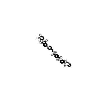 C[C@H]1CCCN1Cc1nc2cc(NC(=O)c3ccc(C(=O)NCCC4CCN(c5ccc6c(c5)C(=O)N(C5CCC(=O)NC5=O)C6=O)CC4)cc3)ccc2[nH]1